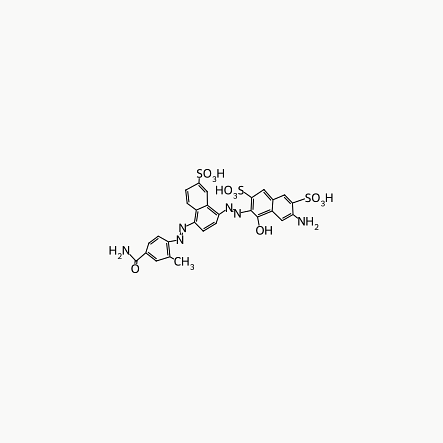 Cc1cc(C(N)=O)ccc1N=Nc1ccc(N=Nc2c(S(=O)(=O)O)cc3cc(S(=O)(=O)O)c(N)cc3c2O)c2cc(S(=O)(=O)O)ccc12